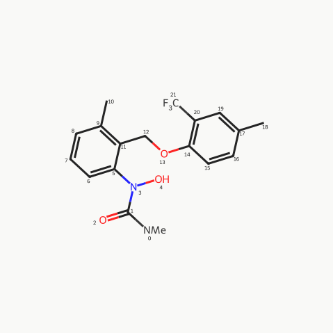 CNC(=O)N(O)c1cccc(C)c1COc1ccc(C)cc1C(F)(F)F